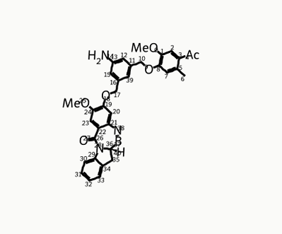 COc1cc(C(C)=O)c(C)cc1OCc1cc(N)cc(COc2cc3c(cc2OC)C(=O)N2c4ccccc4C[C@H]2B=N3)c1